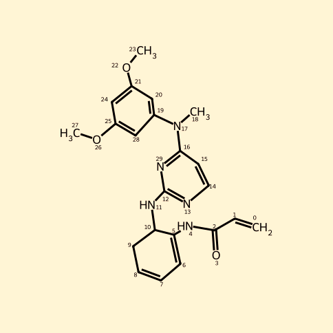 C=CC(=O)NC1=CC=CCC1Nc1nccc(N(C)c2cc(OC)cc(OC)c2)n1